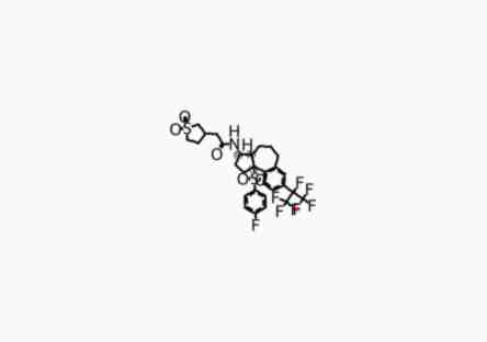 O=C(CC1CCS(=O)(=O)C1)N[C@@H]1CC[C@@]2(S(=O)(=O)c3ccc(F)cc3)c3ccc(C(F)(C(F)(F)F)C(F)(F)F)cc3CCC[C@@H]12